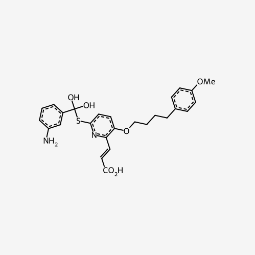 COc1ccc(CCCCOc2ccc(SC(O)(O)c3cccc(N)c3)nc2C=CC(=O)O)cc1